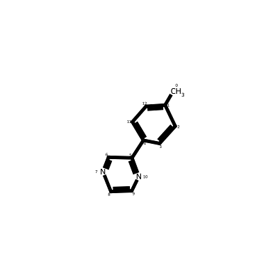 Cc1ccc(-c2cnccn2)cc1